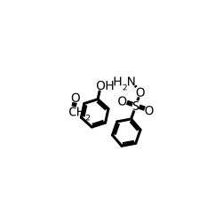 C=O.NOS(=O)(=O)c1ccccc1.Oc1ccccc1